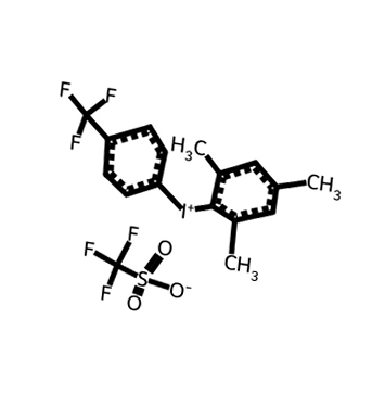 Cc1cc(C)c([I+]c2ccc(C(F)(F)F)cc2)c(C)c1.O=S(=O)([O-])C(F)(F)F